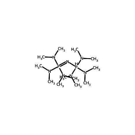 CN(C)P(=N[PH](N(C)C)(N(C)C)N(C)C)(N(C)C)N(C)C